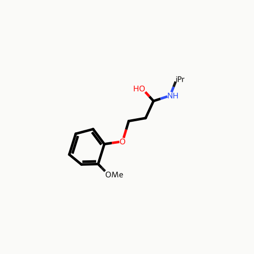 COc1ccccc1OCCC(O)NC(C)C